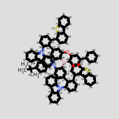 CC(C)(C)c1ccc(N2c3ccc(-c4c(-c5cccc6sc7ccccc7c56)cccc4-n4c5ccccc5c5ccccc54)cc3B3c4ccc(-c5ccccc5)cc4Oc4cc(-c5c(-c6cccc7c6sc6ccccc67)cccc5-n5c6ccccc6c6ccccc65)cc2c43)cc1